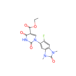 CCOC(=O)c1cn(-c2cc3c(cc2F)n(C)c(=O)n3C)c(=O)[nH]c1=O